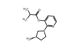 CC(C)C(=O)Oc1cccnc1N1CC[C@@H](N)C1